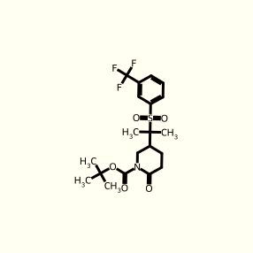 CC(C)(C)OC(=O)N1CC(C(C)(C)S(=O)(=O)c2cccc(C(F)(F)F)c2)CCC1=O